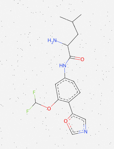 CC(C)CC(N)C(=O)Nc1ccc(-c2cnco2)c(OC(F)F)c1